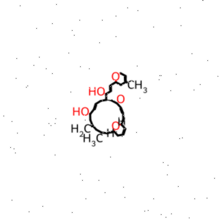 C=C1C[C@H](C)C[C@@H]2CC=C[C@@H](C/C=C\C(=O)C[C@H]([C@@H](O)/C=C/C3CC(C)=CCO3)C/C=C/[C@@H](O)C1)O2